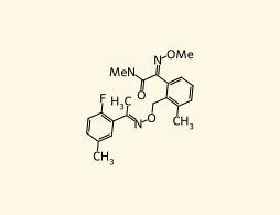 CNC(=O)/C(=N/OC)c1cccc(C)c1CO/N=C(\C)c1cc(C)ccc1F